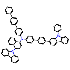 c1ccc(-c2ccc(-c3ccc(N(c4ccc(-c5ccc(-c6ccc7c8ccccc8n(-c8ccccc8)c7c6)cc5)cc4)c4ccc(-n5c6ccccc6c6ccccc65)c5ccccc45)cc3)cc2)cc1